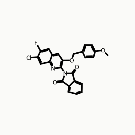 COc1ccc(COc2cc3cc(F)c(Cl)cc3nc2N2C(=O)c3ccccc3C2=O)cc1